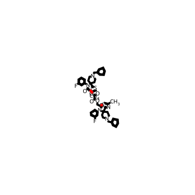 Cc1csc(C2(N(C(=O)COC(=O)C(=O)OCC(=O)N(c3cccc(F)c3)C3(c4nc(C)cs4)CCN(Cc4ccccc4)CC3)c3cccc(F)c3)CCN(Cc3ccccc3)CC2)n1